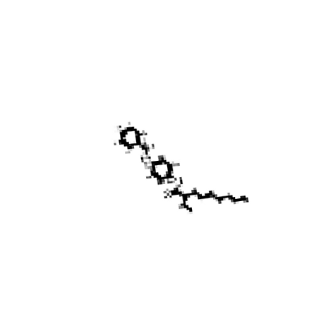 CCCCCCCC(CC)C(=O)Oc1ccc(OCc2ccccc2)cc1